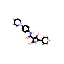 O=C(Nc1ccc(N2CCCCC2)cc1)C1=C(O)C(C2CCOCC2)NC1=O